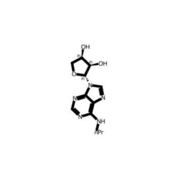 CCCNc1ncnc2c1ncn2[C@@H]1OC[C@@H](O)[C@H]1O